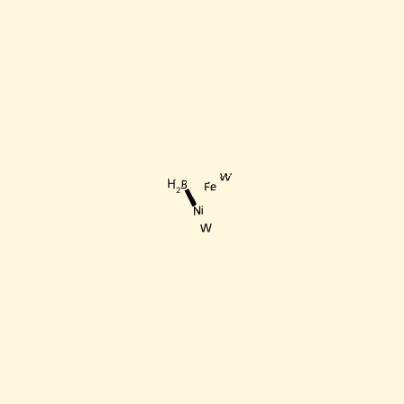 [BH2][Ni].[Fe].[W].[W]